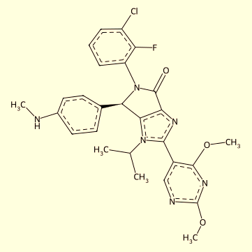 CNc1ccc([C@@H]2c3c(nc(-c4cnc(OC)nc4OC)n3C(C)C)C(=O)N2c2cccc(Cl)c2F)cc1